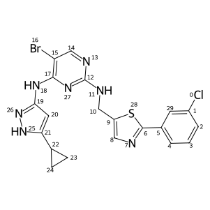 Clc1cccc(-c2ncc(CNc3ncc(Br)c(Nc4cc(C5CC5)[nH]n4)n3)s2)c1